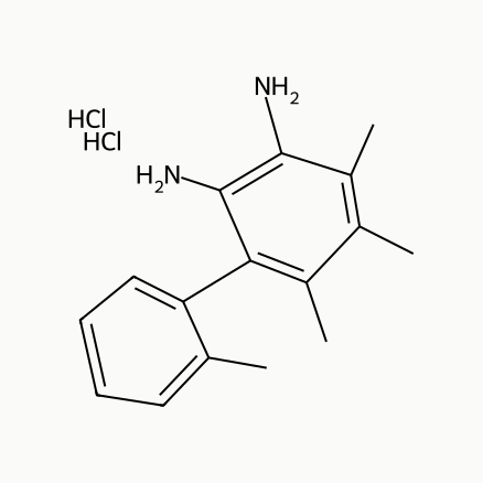 Cc1ccccc1-c1c(C)c(C)c(C)c(N)c1N.Cl.Cl